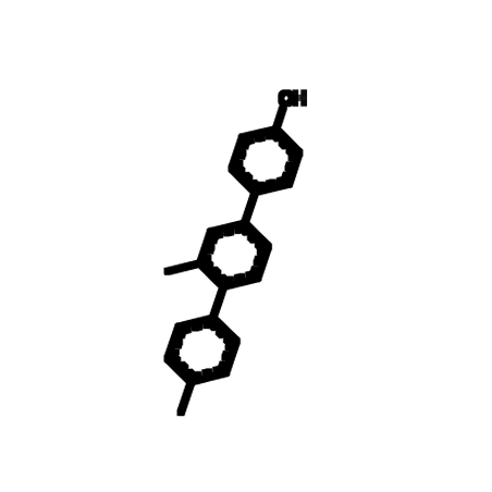 Cc1ccc(-c2ccc(-c3ccc(O)cc3)cc2C)cc1